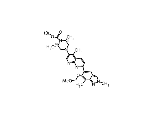 COCOc1c(-c2ccc3c(C)c(N4C[C@H](C)N(C(=O)OC(C)(C)C)[C@@H](C)C4)cnc3n2)cc2cn(C)nc2c1C